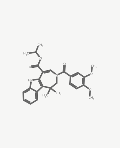 COc1ccc(C(=O)N2C=C(C(=O)OC(C)C)c3[nH]c4ccccc4c3C(C)(C)C2)cc1OC